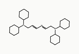 C(=CN=CCP(C1CCCCC1)C1CCCCC1)CP(C1CCCCC1)C1CCCCC1